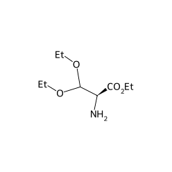 CCOC(=O)[C@@H](N)C(OCC)OCC